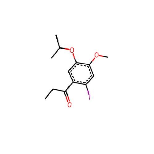 CCC(=O)c1cc(OC(C)C)c(OC)cc1I